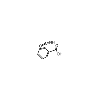 N=C=O.O=C(O)c1ccccc1